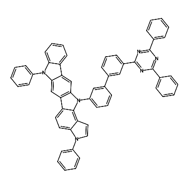 c1ccc(-c2nc(-c3ccccc3)nc(-c3cccc(-c4cccc(-n5c6cc7c8ccccc8n(-c8ccccc8)c7cc6c6ccc7c(ccn7-c7ccccc7)c65)c4)c3)n2)cc1